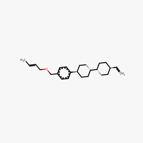 C=C[C@H]1CC[C@H]([C@H]2CC[C@H](c3ccc(COCC=CC)cc3)CC2)CC1